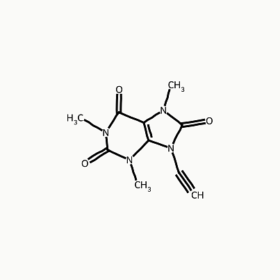 C#Cn1c(=O)n(C)c2c(=O)n(C)c(=O)n(C)c21